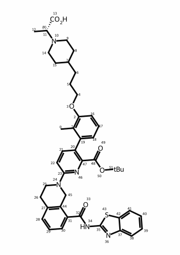 Cc1c(OCCCC2CCN([C@H](C)C(=O)O)CC2)cccc1-c1ccc(N2CCc3cccc(C(=O)Nc4nc5ccccc5s4)c3C2)nc1C(=O)OC(C)(C)C